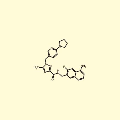 Cc1nc(C(=O)NCc2cc3ccnc(N)c3cc2F)nn1Cc1ccc(N2CCCC2)nc1